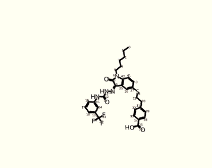 CCCCCCN1C(=O)C(=NNC(=O)Nc2cccc(C(F)(F)F)c2)c2cc(SCCc3ccc(C(=O)O)cc3)ccc21